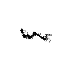 CC(C)(C)OC(=O)N1CC(CCCCCNc2cccc(SNC(=O)c3ccc(-n4ccc(OCCC5(C(F)(F)F)CC5)n4)nc3Cl)n2)CC1(C)C